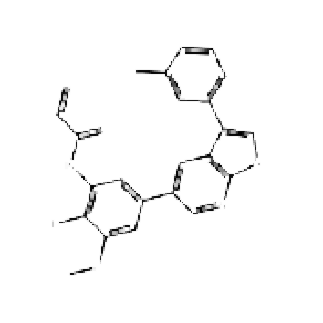 C=CC(=O)Nc1cc(-c2cnc3[nH]cc(-c4cccc(C)c4)c3c2)cc(OC)c1F